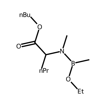 CCCCOC(=O)C(CCC)N(C)B(C)OCC